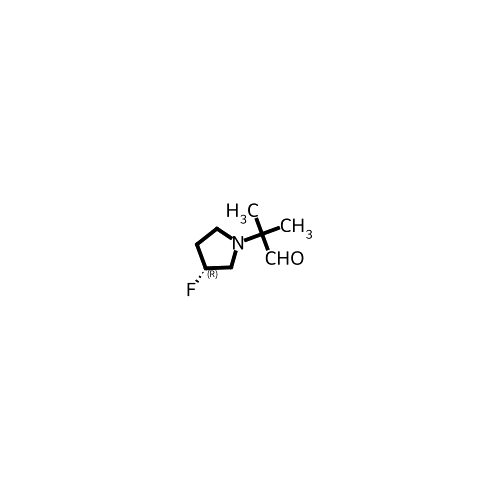 CC(C)(C=O)N1CC[C@@H](F)C1